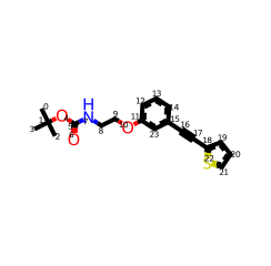 CC(C)(C)OC(=O)NCCOc1cccc(C#Cc2cccs2)c1